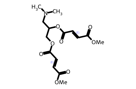 COC(=O)/C=C/C(=O)OCC(CN(C)C)OC(=O)/C=C/C(=O)OC